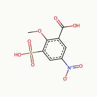 COc1c(C(=O)O)cc([N+](=O)[O-])cc1S(=O)(=O)O